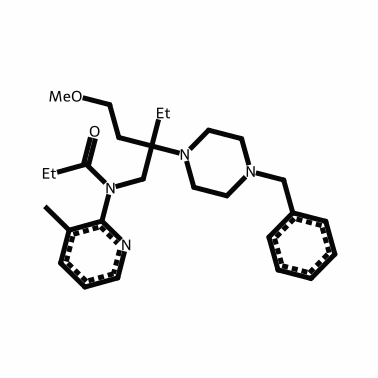 CCC(=O)N(CC(CC)(CCOC)N1CCN(Cc2ccccc2)CC1)c1ncccc1C